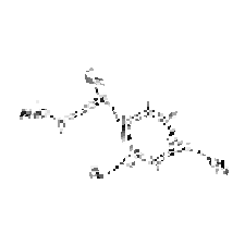 CCC(=NOC)c1ccc(C)cc1Br